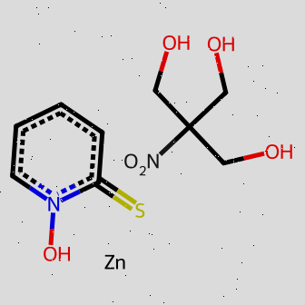 O=[N+]([O-])C(CO)(CO)CO.On1ccccc1=S.[Zn]